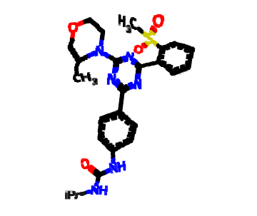 CC(C)NC(=O)Nc1ccc(-c2nc(-c3ccccc3S(C)(=O)=O)nc(N3CCOCC3C)n2)cc1